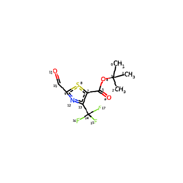 CC(C)(C)OC(=O)c1sc(C=O)nc1C(F)(F)F